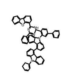 C1=CCCC(n2c3ccccc3c3c(-c4cccc5c4c4ccccc4n5-c4cc(-c5ccccc5)ccc4C4N=C(c5ccccc5)N=C(c5cccc6c5oc5ccccc56)N4)cccc32)=C1